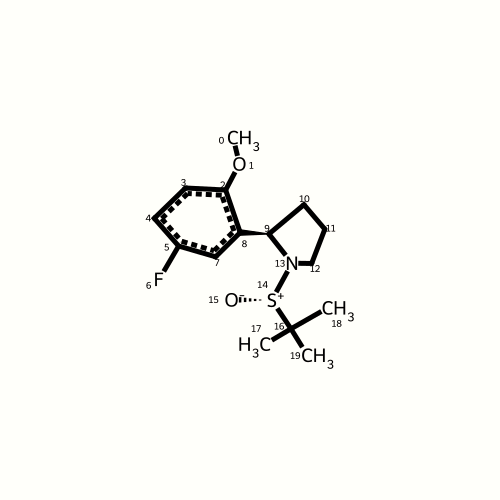 COc1ccc(F)cc1[C@H]1CCCN1[S@@+]([O-])C(C)(C)C